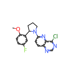 COc1ccc(F)cc1C1CCCN1c1ccc2ncnc(Cl)c2n1